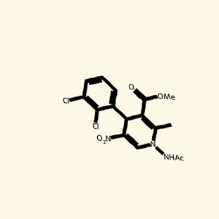 COC(=O)C1=C(C)N(NC(C)=O)C=C([N+](=O)[O-])C1c1cccc(Cl)c1Cl